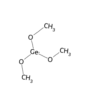 C[O][Ge]([O]C)[O]C